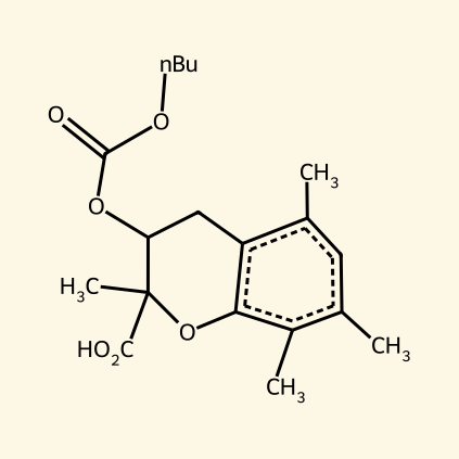 CCCCOC(=O)OC1Cc2c(C)cc(C)c(C)c2OC1(C)C(=O)O